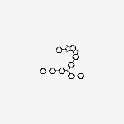 c1ccc(-c2ccc(-c3ccc(N(c4ccc(-c5ccc6oc7ccc8oc(-c9ccccc9)nc8c7c6c5)cc4)c4cccc(-c5ccccc5)c4)cc3)cc2)cc1